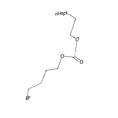 CCCCCCCCCOC(=O)OCCCCBr